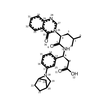 CC(C)C[C@@H](C(=O)N[C@@H](CC(=O)O)c1cccc(N2CC3CCC2C3)c1)n1cnc2ccccc2c1=O